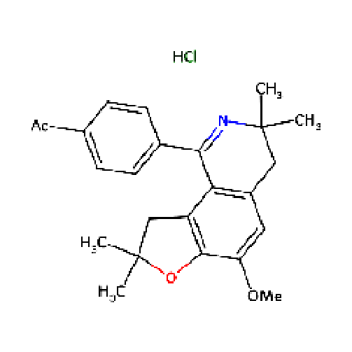 COc1cc2c(c3c1OC(C)(C)C3)C(c1ccc(C(C)=O)cc1)=NC(C)(C)C2.Cl